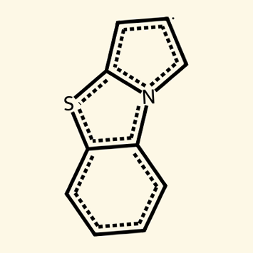 [c]1cc2sc3ccccc3n2c1